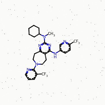 CN(c1nc2c(c(Nc3ccc(C(F)(F)F)nc3)n1)CCN(c1ncccc1C(F)(F)F)CC2)C1CCCCC1